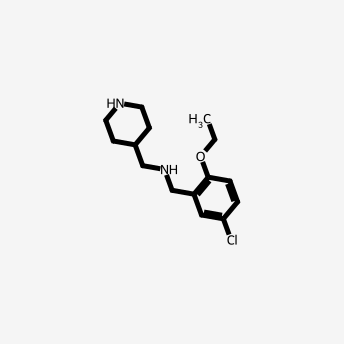 CCOc1ccc(Cl)cc1CNCC1CCNCC1